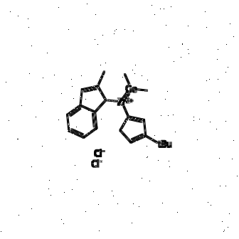 CC1=Cc2ccccc2[CH]1[Zr+2]([C]1=CC(C(C)(C)C)=CC1)=[Ge]([CH3])[CH3].[Cl-].[Cl-]